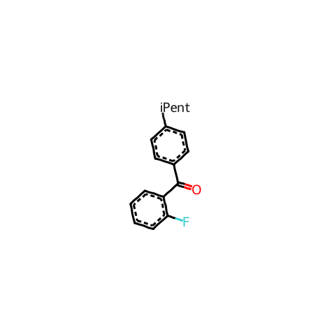 CCCC(C)c1ccc(C(=O)c2ccccc2F)cc1